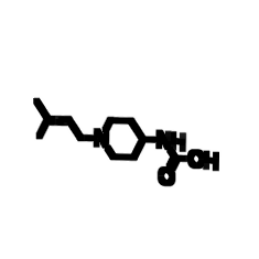 CC(C)=CCN1CCC(NC(=O)O)CC1